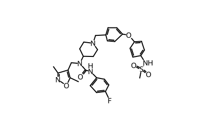 Cc1noc(C)c1CN(C(=O)Nc1ccc(F)cc1)C1CCN(Cc2ccc(Oc3ccc(NS(C)(=O)=O)cc3)cc2)CC1